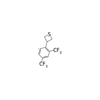 FC(F)(F)c1c[c]c(C2CSC2)c(C(F)(F)F)c1